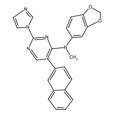 CN(c1ccc2c(c1)OCO2)c1nc(-n2ccnc2)ncc1-c1ccc2ccccc2c1